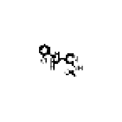 CC(=O)Nc1cc(-c2c[nH]c(-c3ccccc3Cl)n2)ccn1